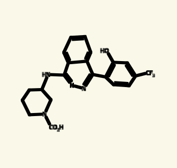 O=C(O)N1CCCC(Nc2nnc(-c3ccc(C(F)(F)F)cc3O)c3ccccc23)C1